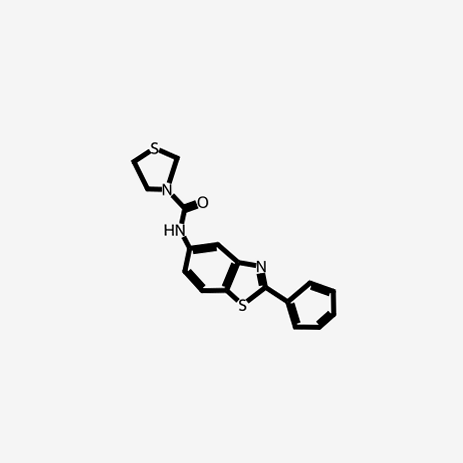 O=C(Nc1ccc2sc(-c3ccccc3)nc2c1)N1CCSC1